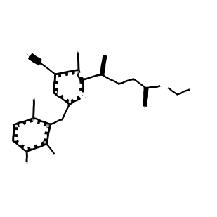 CCOC(=O)CCC(=O)c1nc(Cc2c(Cl)ccc(C)c2Cl)cc(C#N)c1O